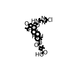 CC(C)C1=C2[C@H]3CC[C@@H]4[C@@]5(C)CC[C@H](OC(=O)[C@H]6C[C@@H](C(=O)O)C6(C)C)C(C)(C)[C@@H]5CC[C@@]4(C)[C@]3(C)CC[C@@]2(CC(=O)NC(C)(C)c2ncc(Cl)cn2)CC1=O